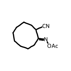 CC(=O)ON=C1CCCCCCCCC1C#N